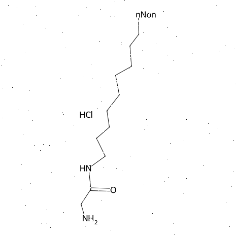 CCCCCCCCCCCCCCCCCCNC(=O)CN.Cl